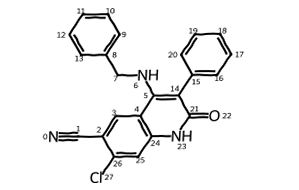 N#Cc1cc2c(NCc3ccccc3)c(-c3ccccc3)c(=O)[nH]c2cc1Cl